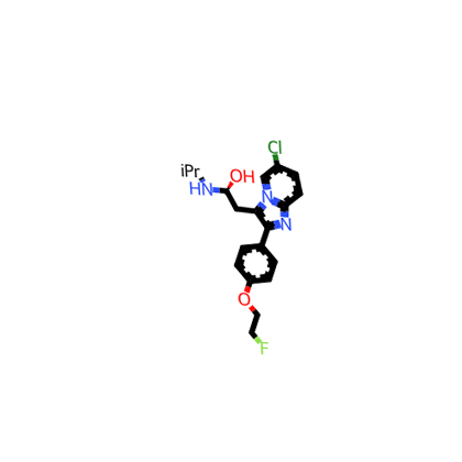 CC(C)N[C@@H](O)Cc1c(-c2ccc(OCCF)cc2)nc2ccc(Cl)cn12